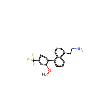 COc1cc(C(F)(F)F)ccc1-c1cccc2c(CCN)cccc12